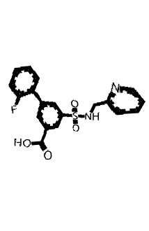 O=C(O)c1cc(-c2ccccc2F)cc(S(=O)(=O)NCc2ccccn2)c1